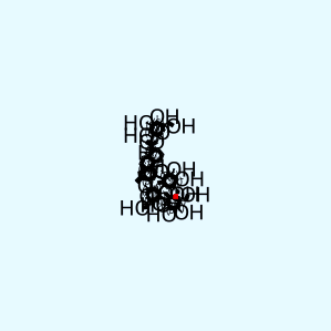 C=C1C[C@@]23CC[C@H]4[C@@](C)(CCC[C@@]4(C)C(=O)O[C@@H]4O[C@H](CO)[C@@H](O)[C@H](O)[C@H]4O)[C@@H]2CC[C@]1(O[C@@H]1O[C@H](CO)[C@@H](O)[C@H](OC2C[C@H](CO)[C@@H](O)[C@H](O)[C@H]2O)[C@H]1OC1C[C@H](CO)[C@@H](O)[C@H](O)[C@H]1O)C3